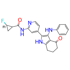 O=C1CCCc2[nH]c(-c3ccnc(NC(=O)C4C[C@H]4F)c3)c(Nc3ccccc3)c21